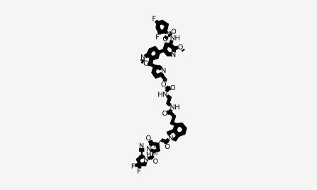 COc1ncc(-c2ccc3nccc(-c4ccc(COC(=O)NCCNC(=O)CCc5cccc6c5CN(C(=O)C[C@@H]5C[C@@H](C(=O)N7CC(F)(F)C[C@H]7C#N)NC5=O)C6)nc4)c3c2)cc1NS(=O)(=O)c1ccc(F)cc1F